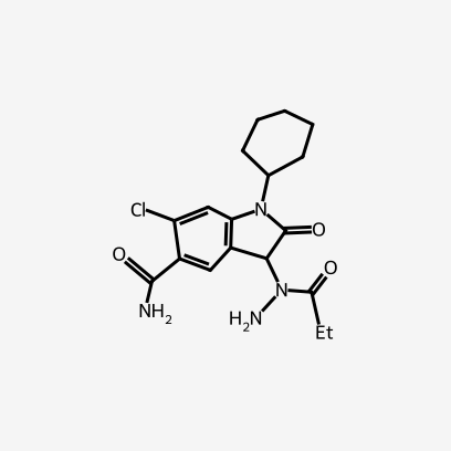 CCC(=O)N(N)C1C(=O)N(C2CCCCC2)c2cc(Cl)c(C(N)=O)cc21